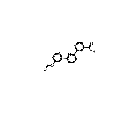 O=COc1ccnc(-c2cccc(-c3cc(C(=O)O)ccn3)n2)c1